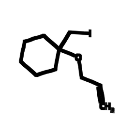 C=CCOC1(CI)CCCCC1